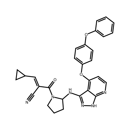 N#C/C(=C\C1CC1)C(=O)N1CCCC1Nc1n[nH]c2nccc(Oc3ccc(Oc4ccccc4)cc3)c12